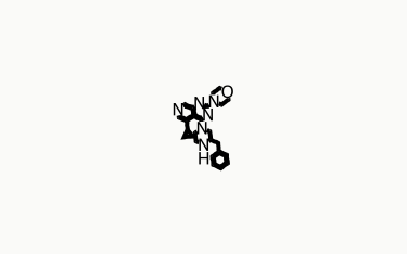 c1ccc(CC2CN(c3nc(N4CCOCC4)nc4cncc(C5CC5)c34)CCN2)cc1